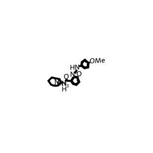 COc1ccc(Nc2nc3c(C(=O)NC4CC5CCCC(C4)N5C)cccc3o2)cc1